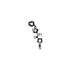 N#CN1CC[C@H](C(=O)Nc2cnn(Cc3ccccc3)c2)C1